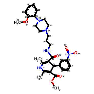 COC(=O)C1=C(C)NC(C)=C(C(=O)NCCCN2CCN(c3ccccc3OC)CC2)C1c1cccc([N+](=O)[O-])c1